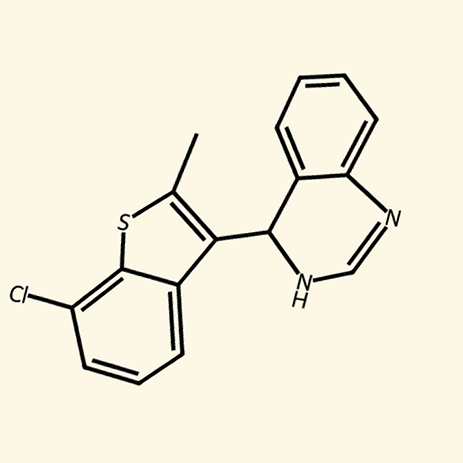 Cc1sc2c(Cl)cccc2c1C1NC=Nc2ccccc21